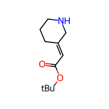 CC(C)(C)OC(=O)/C=C1\CCCNC1